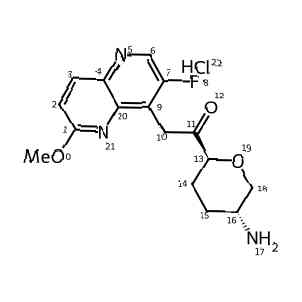 COc1ccc2ncc(F)c(CC(=O)[C@@H]3CC[C@@H](N)CO3)c2n1.Cl